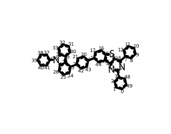 c1ccc(-c2nc(-c3ccccc3)c3sc4ccc(-c5ccc(-c6cccc7c6c6ccccc6n7-c6ccccc6)cc5)cc4c3n2)cc1